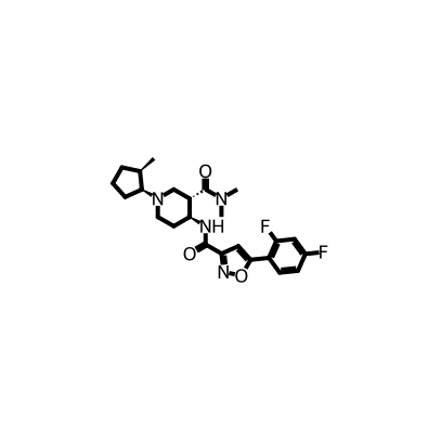 C[C@@H]1CCC[C@@H]1N1CC[C@H](NC(=O)c2cc(-c3ccc(F)cc3F)on2)[C@@H](C(=O)N(C)C)C1